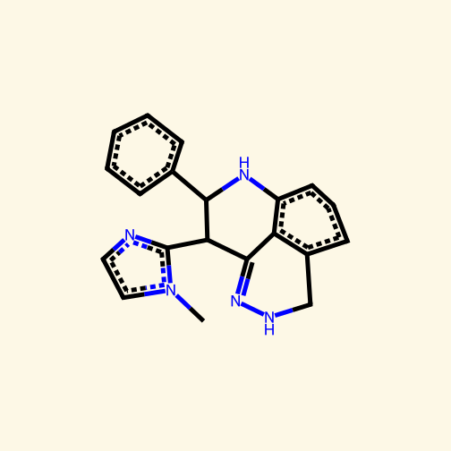 Cn1ccnc1C1C2=NNCc3cccc(c32)NC1c1ccccc1